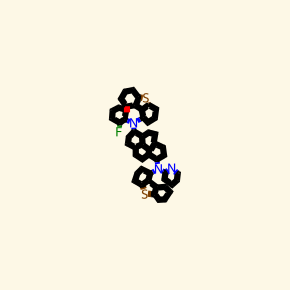 Fc1ccccc1N(c1ccc2ccc3c(N(c4ccccn4)c4cccc5sc6ccccc6c45)ccc4ccc1c2c43)c1cccc2sc3ccccc3c12